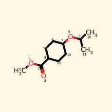 COC(=O)C1CCC(OC(C)C)CC1